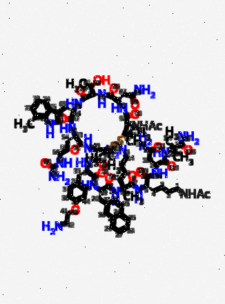 CC(=O)NCCCC[C@H](NC(=O)[C@](C)(CCCCN)NC(=O)[C@H](Cc1ccc2ccccc2c1)NC(=O)[C@H](Cc1ccc(OCCN)cc1)NC(=O)[C@H]1NC(=O)[C@H](CCCNC(N)=O)NC(=O)[C@H](Cc2c[nH]c3c(C)cccc23)NC(=O)[C@H]([C@@H](C)O)NC(=O)[C@H](CC(N)=O)NC(=O)[C@@H](NC(C)=O)C(C)(C)SSC1(C)C)C(=O)N[C@@H](CC(N)=O)C(=O)NC(C)(C)C(N)=O